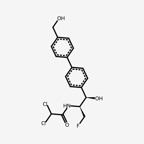 O=C(N[C@H](CF)[C@H](O)c1ccc(-c2ccc(CO)cc2)cc1)C(Cl)Cl